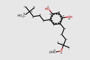 CC(C)(CCCc1cc(CCCC(C)(C)C(=O)O)c(O)cc1O)OC=O